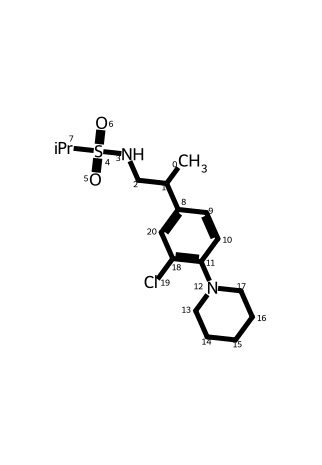 CC(CNS(=O)(=O)C(C)C)c1ccc(N2CCCCC2)c(Cl)c1